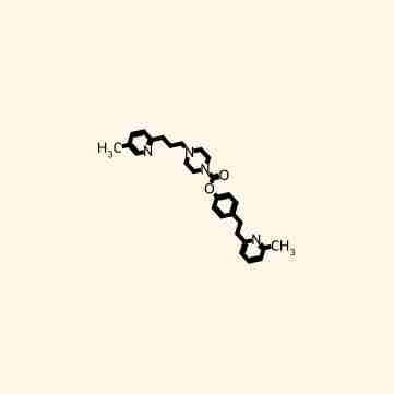 Cc1ccc(CCCN2CCN(C(=O)Oc3ccc(CCc4cccc(C)n4)cc3)CC2)nc1